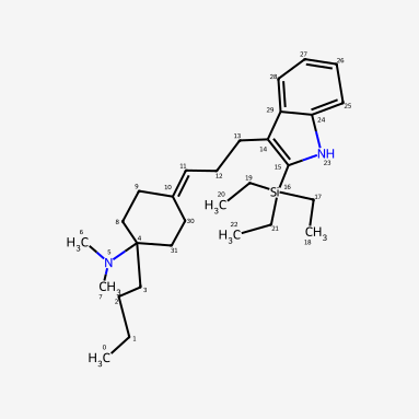 CCCCC1(N(C)C)CCC(=CCCc2c([Si](CC)(CC)CC)[nH]c3ccccc23)CC1